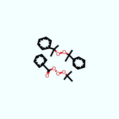 CC(C)(C)OOOC(=O)c1ccccc1.CC(C)(OOC(C)(C)c1ccccc1)c1ccccc1